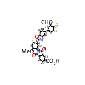 COc1ccc(-c2nc3cc(-c4ccc(F)c(C=O)c4)ccc3o2)cc1N1C(=O)c2ccc(C(=O)O)cc2C1=O